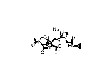 CC(=O)N1CO[C@H]2C(CSc3nnnn3CC(=O)NC3CC3)=C(C(=O)[O-])N3C(=O)C1[C@@H]23.[Na+]